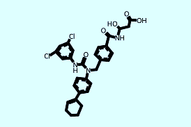 O=C(O)CC(O)NC(=O)c1ccc(CN(C(=O)Nc2cc(Cl)cc(Cl)c2)c2ccc(C3=CCCCC3)cc2)cc1